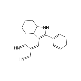 N=CC(C=N)=CC1=C(C2=CCCC=C2)NC2CCCCC12